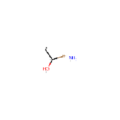 CC(O)Br.N